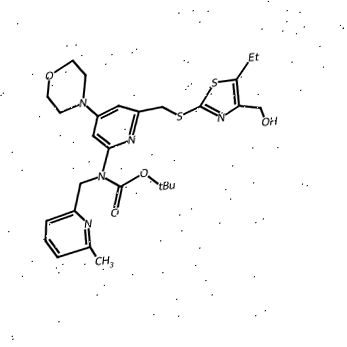 CCc1sc(SCc2cc(N3CCOCC3)cc(N(Cc3cccc(C)n3)C(=O)OC(C)(C)C)n2)nc1CO